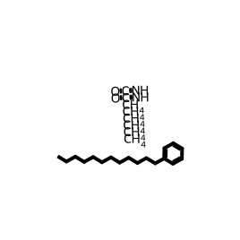 C.C.C.C.C.C.CCCCCCCCCCCCc1ccccc1.N=C=O.N=C=O